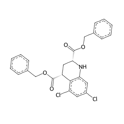 O=C(OCc1ccccc1)[C@H]1C[C@@H](C(=O)OCc2ccccc2)c2c(Cl)cc(Cl)cc2N1